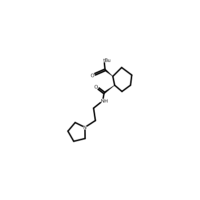 CC(C)(C)C(=O)[C@H]1CCCC[C@H]1C(=O)NCCN1CCCC1